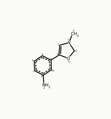 CN1C=C(c2cccc(N)c2)OC1